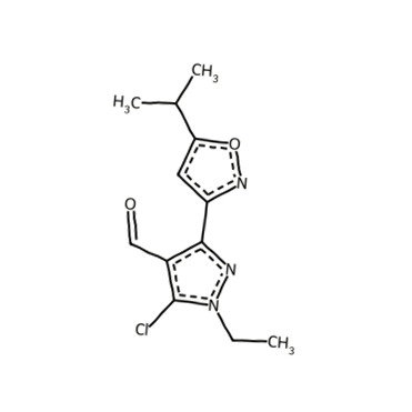 CCn1nc(-c2cc(C(C)C)on2)c(C=O)c1Cl